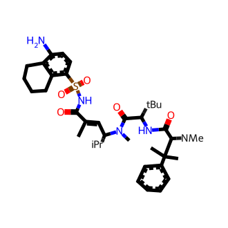 CNC(C(=O)NC(C(=O)N(C)C(C=C(C)C(=O)NS(=O)(=O)c1ccc(N)c2c1CCCC2)C(C)C)C(C)(C)C)C(C)(C)c1ccccc1